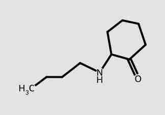 CCCCNC1CCCCC1=O